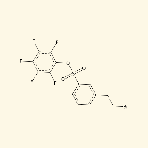 O=S(=O)(Oc1c(F)c(F)c(F)c(F)c1F)c1cccc(CCBr)c1